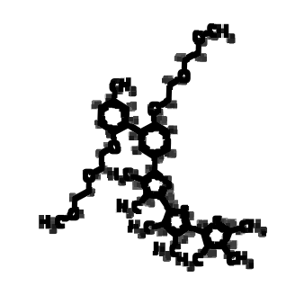 COCCOCCOc1ccc(C)cc1-c1cc(-c2sc(-c3sc(-c4sc(C)c(C)c4C)c(C)c3C)c(C)c2C)ccc1OCCOCCOC